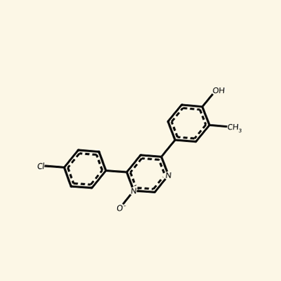 Cc1cc(-c2cc(-c3ccc(Cl)cc3)[n+]([O-])cn2)ccc1O